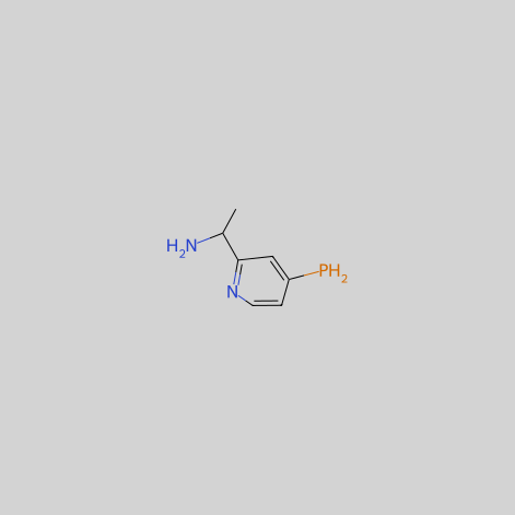 CC(N)c1cc(P)ccn1